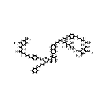 N=C(NCCCCc1ccc(OCCN(CCCc2ccc3ccc(OC(CO)C(O)C(O)C(O)CN(CCCOc4ccccc4)CCOc4ccc(CCCCNC(=N)NC(=O)c5nc(Cl)c(N)nc5N)cc4)cc3c2)CC(O)C(O)C(O)C(O)CO)cc1)NC(=O)c1nc(Cl)c(N)nc1N